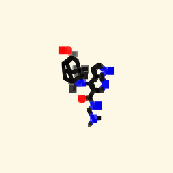 CN(C)CNC(=O)c1cnc2[nH]ccc2c1N[C@H]1[C@@H]2CC3C[C@H]1C[C@@](O)(C3)C2